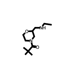 CCNCC1CN(C(=O)C(C)(C)C)CCO1